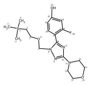 C[Si](C)(C)CCOCn1nc(N2CCOCC2)nc1-c1ccc(O)cc1F